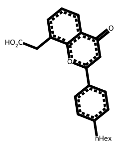 CCCCCCc1ccc(-c2cc(=O)c3cccc(CC(=O)O)c3o2)cc1